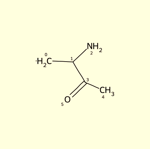 [CH2]C(N)C(C)=O